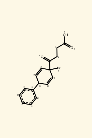 O=C(O)CCC(=O)C1(Br)C=CC(c2ccccc2)C=C1